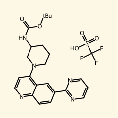 CC(C)(C)OC(=O)NC1CCCN(c2ccnc3ccc(-c4ncccn4)cc23)C1.O=S(=O)(O)C(F)(F)F